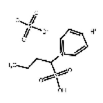 CCCC([n+]1ccccc1)S(=O)(=O)O.O=S(=O)([O-])[O-].[H+]